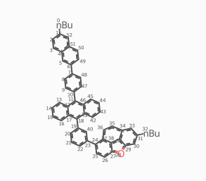 CCCCc1ccc2cc(-c3ccc(-c4c5ccccc5c(-c5cccc(-c6ccc7oc8cc(CCCC)cc9ccc6c7c98)c5)c5ccccc45)cc3)ccc2c1